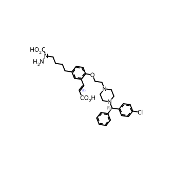 NN(CCCCc1ccc(OCCN2CCN([C@H](c3ccccc3)c3ccc(Cl)cc3)CC2)c(/C=C/C(=O)O)c1)C(=O)O